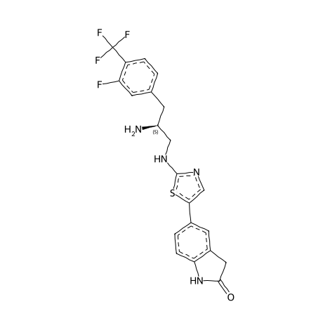 N[C@H](CNc1ncc(-c2ccc3c(c2)CC(=O)N3)s1)Cc1ccc(C(F)(F)F)c(F)c1